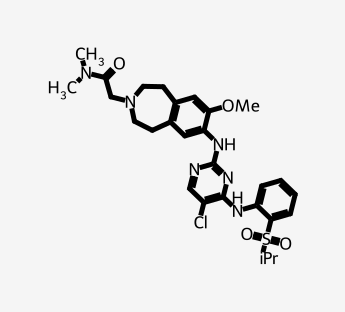 COc1cc2c(cc1Nc1ncc(Cl)c(Nc3ccccc3S(=O)(=O)C(C)C)n1)CCN(CC(=O)N(C)C)CC2